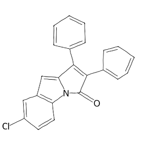 O=C1C(c2ccccc2)=C(c2ccccc2)c2cc3cc(Cl)ccc3n21